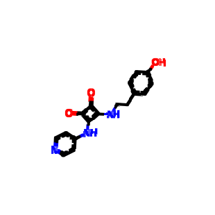 O=c1c(NCCc2ccc(O)cc2)c(Nc2ccncc2)c1=O